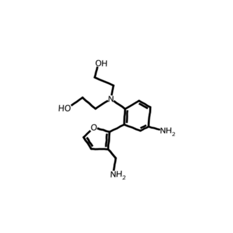 NCc1ccoc1-c1cc(N)ccc1N(CCO)CCO